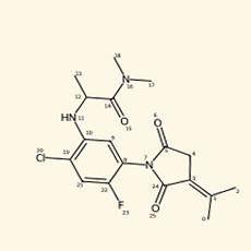 CC(C)=C1CC(=O)N(c2cc(NC(C)C(=O)N(C)C)c(Cl)cc2F)C1=O